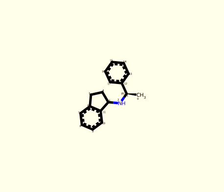 C[C@@H](NC1CCc2ccccc21)c1ccccc1